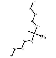 BC(C)(OCCCC)OCCCC